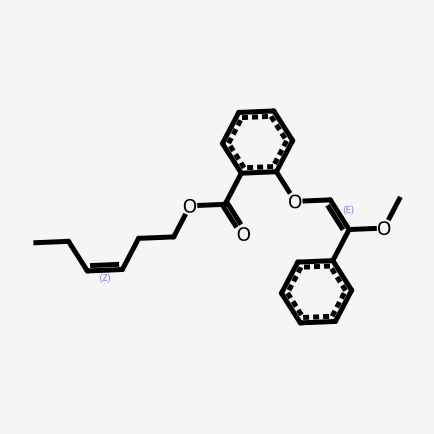 CC/C=C\CCOC(=O)c1ccccc1O/C=C(/OC)c1ccccc1